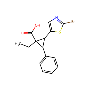 CCC1(C(=O)O)C(c2ccccc2)C1c1cnc(Br)s1